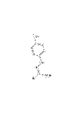 CCC(=NNc1ccc(OC)cc1)C(=O)O